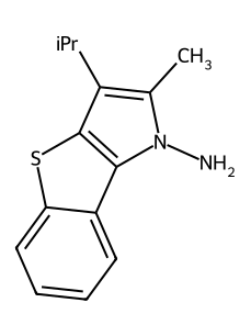 Cc1c(C(C)C)c2sc3ccccc3c2n1N